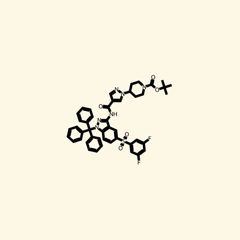 CC(C)(C)OC(=O)N1CCC(n2cc(C(=O)Nc3nn(C(c4ccccc4)(c4ccccc4)c4ccccc4)c4ccc(S(=O)(=O)c5cc(F)cc(F)c5)cc34)cn2)CC1